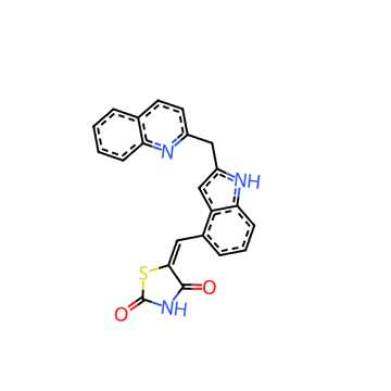 O=C1NC(=O)C(=Cc2cccc3[nH]c(Cc4ccc5ccccc5n4)cc23)S1